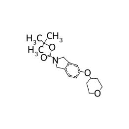 CC(C)(C)OC(=O)N1Cc2ccc(OC3CCOCC3)cc2C1